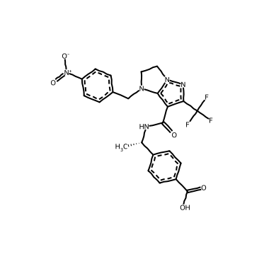 C[C@H](NC(=O)c1c(C(F)(F)F)nn2c1N(Cc1ccc([N+](=O)[O-])cc1)CC2)c1ccc(C(=O)O)cc1